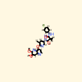 COc1cc2nccc(Oc3ncc(NC(=O)C4(C(=O)Nc5ccc(F)cc5)CC4)cc3C)c2nc1OC